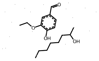 CCCCCCC(C)O.CCOc1cc(C=O)ccc1O